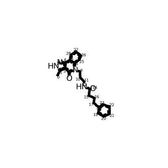 Cc1[nH]nc2c1c(=O)n(CCCNC(=O)CCCc1ccccc1)c1ccccc21